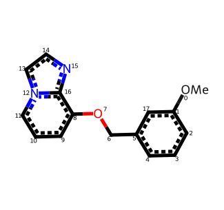 COc1cccc(COc2cccn3ccnc23)c1